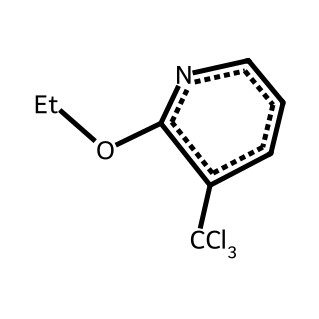 CCOc1ncccc1C(Cl)(Cl)Cl